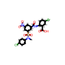 CN(c1ccc(Cl)cc1)S(=O)(=O)c1cc(C(=O)Nc2ccc(Br)cc2C(=O)O)cc([N+](=O)[O-])c1